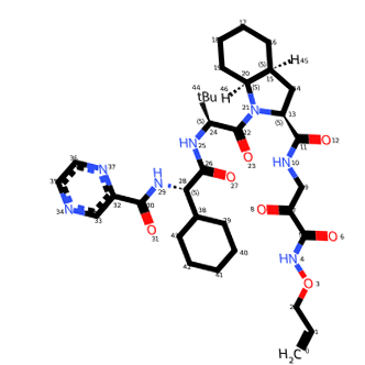 C=CCONC(=O)C(=O)CNC(=O)[C@@H]1C[C@@H]2CCCC[C@@H]2N1C(=O)[C@@H](NC(=O)[C@@H](NC(=O)c1cnccn1)C1CCCCC1)C(C)(C)C